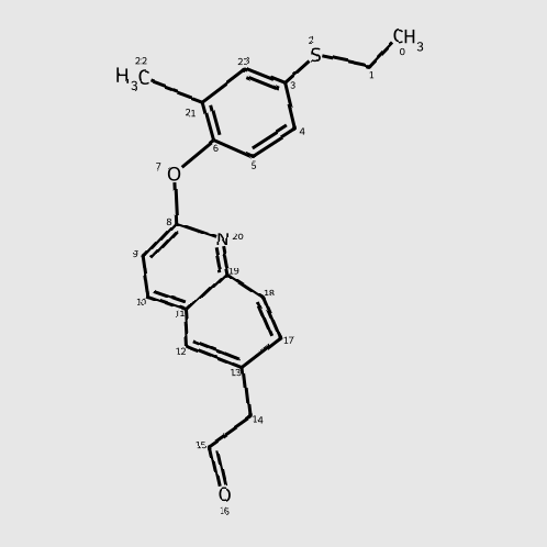 CCSc1ccc(Oc2ccc3cc(CC=O)ccc3n2)c(C)c1